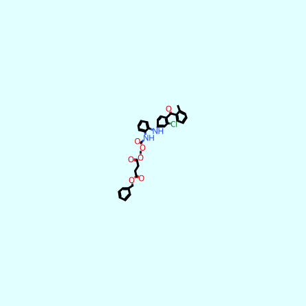 Cc1ccccc1C(=O)c1ccc(Nc2ccccc2NC(=O)OCOC(=O)CCC(=O)OCc2ccccc2)cc1Cl